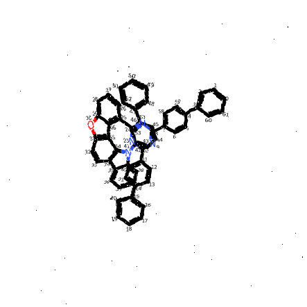 c1ccc(-c2ccc(-c3nc(-c4ccc(-c5ccccc5)cc4)nc(-c4cccc5oc6ccc7c8ccccc8n(-c8cccc(-c9ccccc9)c8)c7c6c45)n3)cc2)cc1